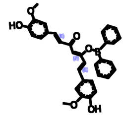 COc1cc(/C=C/C(=O)/C=C(/C=C/c2ccc(O)c(OC)c2)OB(c2ccccc2)c2ccccc2)ccc1O